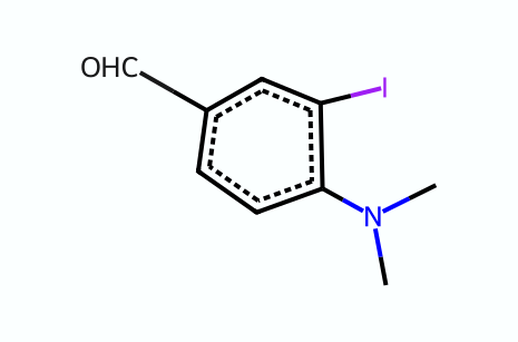 CN(C)c1ccc(C=O)cc1I